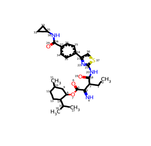 CCC(C(=N)C(=O)OC1CC(C)CCC1C(C)C)C(=O)Nc1nc(-c2ccc(C(=O)NC3CC3)cc2)cs1